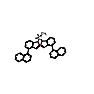 CC1=Cc2c(-c3cccc4ccccc34)cccc2[CH]1[Ti]([CH3])([CH3])(=[SiH2])[CH]1C(C)=Cc2c(-c3cccc4ccccc34)cccc21